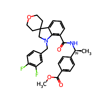 COC(=O)c1ccc([C@H](C)NC(=O)c2cccc3c2N(Cc2ccc(F)c(F)c2)CC32CCOCC2)cc1